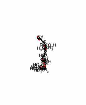 Cc1cc(OCCCC(=O)NCCNC(=O)C(CS(=O)(=O)O)NC(=S)Nc2ccc(CC(CN(CC(=O)O)CC(C)N(CC(=O)O)CC(=O)O)N(CC(=O)O)CC(=O)O)cc2)cc(C)c1S(=O)(=O)NC(CNC(=O)CCCCc1ccc2c(n1)NCCC2)C(=O)O